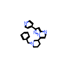 c1ccc(CN2CCCC(c3ccnc4cc(-c5ccncc5)nn34)C2)cc1